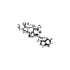 [O]C[C@H]1O[C@@H](n2ncc3c(N4CC5(CCc6ccccc65)C4)nc(Cl)nc32)[C@H](O)[C@@H]1O